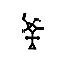 C=C[C@@H]1[C@H]2N(S(=O)(=O)C3CC3)C(=O)[C@]12N